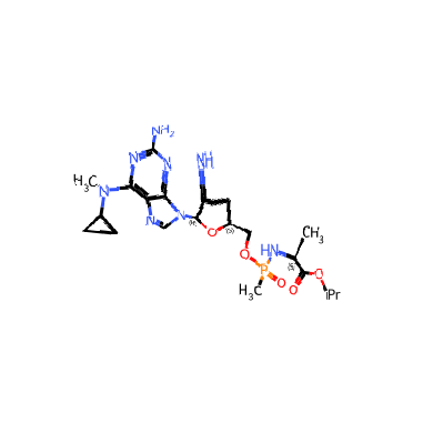 CC(C)OC(=O)[C@H](C)NP(C)(=O)OC[C@@H]1CC(=N)[C@H](n2cnc3c(N(C)C4CC4)nc(N)nc32)O1